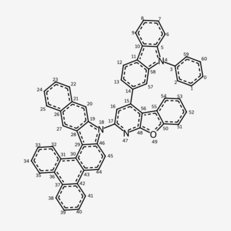 c1ccc(-n2c3ccccc3c3ccc(-c4cc(-n5c6cc7ccccc7cc6c6c7c8ccccc8c8ccccc8c7ccc65)nc5oc6ccccc6c45)cc32)cc1